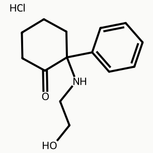 Cl.O=C1CCCCC1(NCCO)c1ccccc1